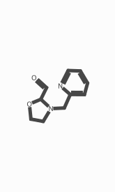 O=CC1OCCN1Cc1ccccn1